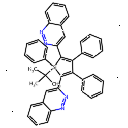 CC(C)(C)[Si]1(c2ccccc2)C(c2cc3ccccc3nn2)=C(c2ccccc2)C(c2ccccc2)=C1c1cc2ccccc2nn1